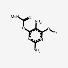 CCOc1nc(N)nc(OC(=O)NC)c1N